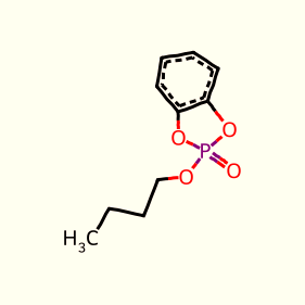 CCCCOP1(=O)Oc2ccccc2O1